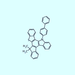 CC1(C)c2ccccc2-c2c1c1sc3ccccc3c1c1c2c2ccccc2n1-c1ccc(-c2ccccc2)cc1